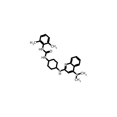 Cc1cccc(C)c1NC(=O)NC1CCC(Nc2cc(N(C)C)c3ccccc3n2)CC1